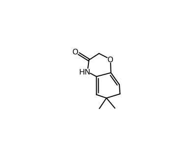 CC1(C)C=C2NC(=O)COC2=CC1